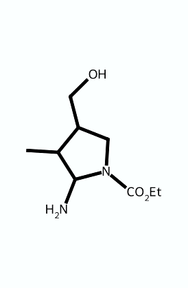 CCOC(=O)N1CC(CO)C(C)C1N